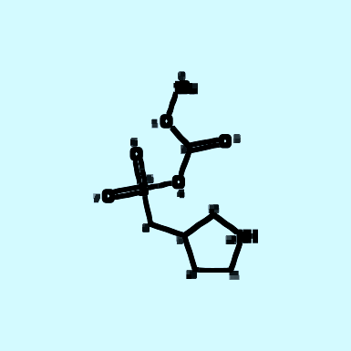 CC(C)(C)OC(=O)OS(=O)(=O)CC1CCNC1